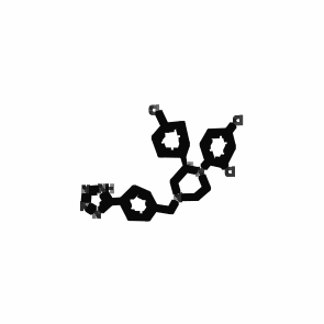 Clc1ccc([C@@H]2CN(Cc3ccc(-c4nnn[nH]4)cc3)CCN2c2ccc(Cl)cc2Cl)cc1